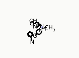 COc1ccc(/N=C(/SC)N2CCC(Oc3ccccc3C#N)CC2)cn1